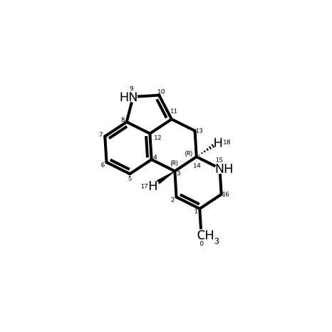 CC1=C[C@@H]2c3cccc4[nH]cc(c34)C[C@H]2NC1